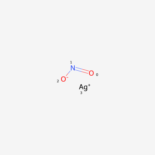 O=N[O-].[Ag+]